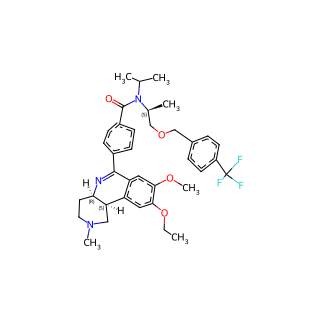 CCOc1cc2c(cc1OC)C(c1ccc(C(=O)N(C(C)C)[C@@H](C)COCc3ccc(C(F)(F)F)cc3)cc1)=N[C@@H]1CCN(C)C[C@H]21